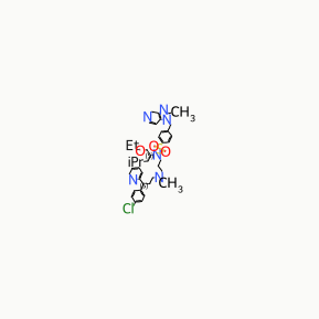 CCOC[C@H](CC(C)C)N(CCCN(C)CC[C@@H](c1ccc(Cl)cc1)c1ccccn1)S(=O)(=O)c1ccc(Cn2c(C)nc3cnccc32)cc1